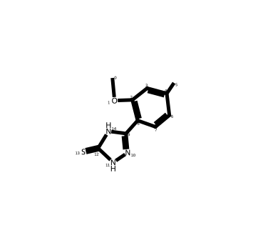 COc1cc(C)ccc1-c1n[nH]c(=S)[nH]1